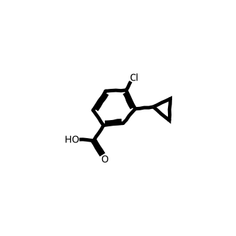 O=C(O)c1ccc(Cl)c(C2CC2)c1